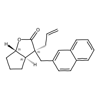 C=CC[C@@]1(Cc2ccc3ccccc3c2)C(=O)O[C@H]2CCC[C@@H]21